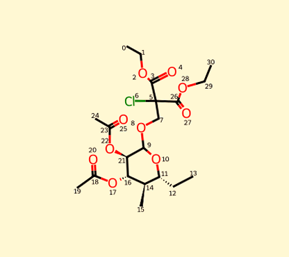 CCOC(=O)C(Cl)(COC1O[C@H](CC)[C@@H](C)[C@H](OC(C)=O)[C@H]1OC(C)=O)C(=O)OCC